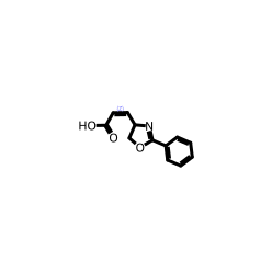 O=C(O)/C=C\C1COC(c2ccccc2)=N1